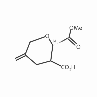 C=C1CO[C@H](C(=O)OC)C(C(=O)O)C1